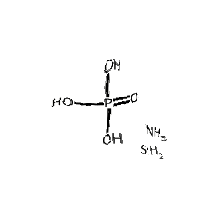 N.O=P(O)(O)O.[SrH2]